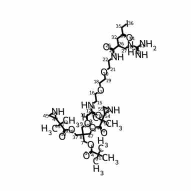 CC(C)(C)C(=O)OCC(COCC(=O)NCCOCCOCCNC(=O)C(CNC(=N)N)CC(=O)CI)(COC(=O)C(C)(C)C1CN1)COC(=O)C(C)(C)C1CN1